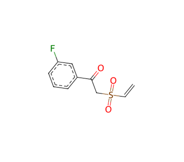 C=CS(=O)(=O)CC(=O)c1cccc(F)c1